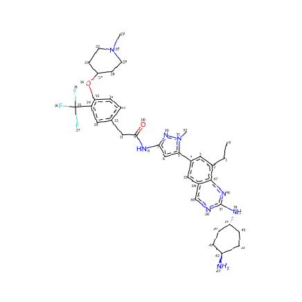 CCc1cc(-c2cc(NC(=O)Cc3ccc(OC4CCN(C)CC4)c(C(F)(F)F)c3)nn2C)cc2cnc(N[C@H]3CC[C@H](N)CC3)nc12